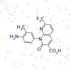 Cc1cc(-n2c(=O)c(C(=O)O)cc3ccc(C(F)(F)F)nc32)ccc1N